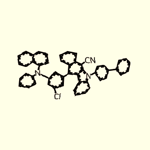 N#Cc1c2ccccc2c(-c2cc(Cl)cc(N(c3ccccc3)c3cccc4ccccc34)c2)c2c3ccccc3n(-c3ccc(-c4ccccc4)cc3)c12